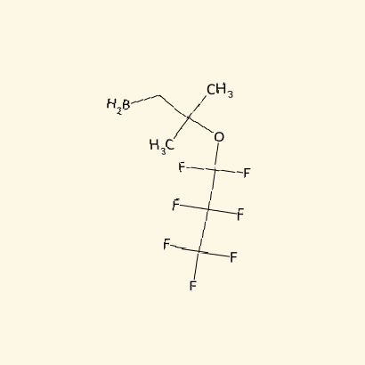 BCC(C)(C)OC(F)(F)C(F)(F)C(F)(F)F